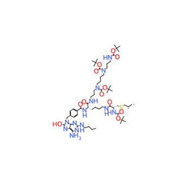 [CH2][CH]CSC[C@H](NC(=O)OC(C)(C)C)C(=O)NCCCC[C@H](NC(=O)c1ccc(Cn2c(O)nc3c(N)nc(NCCCC)nc32)cc1)C(=O)NCCCN(CCCCN(CCCNC(=O)OC(C)(C)C)C(=O)OC(C)(C)C)C(=O)OC(C)(C)C